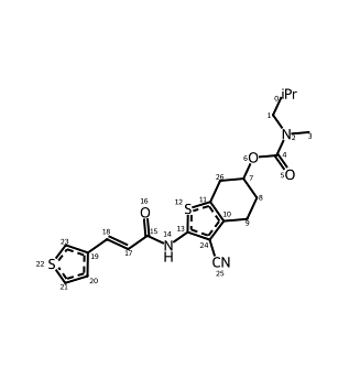 CC(C)CN(C)C(=O)OC1CCc2c(sc(NC(=O)C=Cc3ccsc3)c2C#N)C1